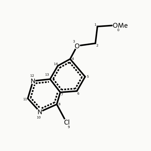 COCCOc1ccc2c(Cl)ncnc2c1